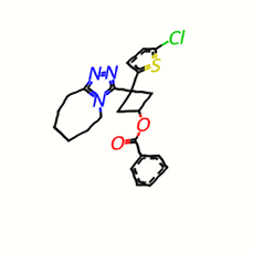 O=C(OC1CC(c2ccc(Cl)s2)(c2nnc3n2CCCCCC3)C1)c1ccccc1